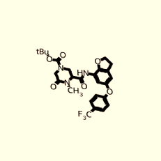 CN1C(=O)CN(C(=O)OC(C)(C)C)CC1C(=O)Nc1cc(Oc2ccc(C(F)(F)F)cc2)cc2c1OCC2